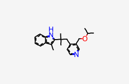 Cc1c(C(C)(C)Cc2ccncc2COC(C)C)[nH]c2ccccc12